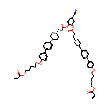 C=CC(=O)OCCCCCOc1ccc(-c2ccc(C3CCC(CCC(=O)Oc4cc(C#N)ccc4OC(=O)CC[C@H]4CC[C@H](c5ccc(-c6ccc(OCCCCCOC(=O)C=C)cc6)cc5)CC4)CC3)cc2)cc1